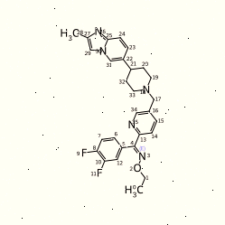 CCO/N=C(\c1ccc(F)c(F)c1)c1ccc(CN2CCC(c3ccc4nc(C)cn4c3)CC2)cn1